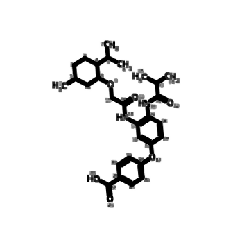 CC1CCC(C(C)C)C(OCC(=O)Nc2cc(Oc3ccc(C(=O)O)cc3)ccc2NC(=O)C(C)C)C1